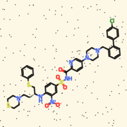 O=C(NS(=O)(=O)c1ccc(N[C@H](CCN2CCSCC2)CSc2ccccc2)c([N+](=O)[O-])c1)c1ccc(N2CCN(Cc3ccccc3-c3ccc(Cl)cc3)CC2)cn1